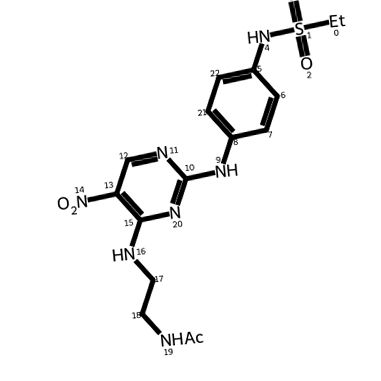 CCS(=O)(=O)Nc1ccc(Nc2ncc([N+](=O)[O-])c(NCCNC(C)=O)n2)cc1